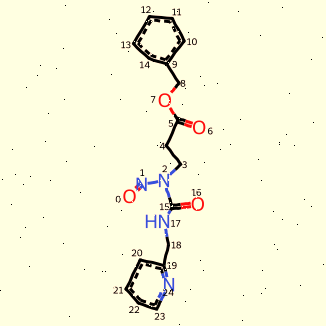 O=NN(CCC(=O)OCc1ccccc1)C(=O)NCc1ccccn1